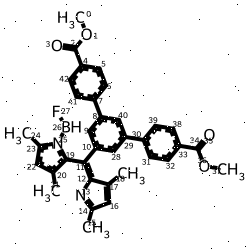 COC(=O)c1ccc(-c2cc(/C(=C3/N=C(C)C=C3C)c3c(C)cc(C)n3BF)cc(-c3ccc(C(=O)OC)cc3)c2)cc1